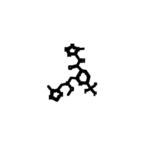 CON(Cc1nc(C(F)(F)F)ccc1C(=O)Nc1nnnn1C)Cc1ncnn1C